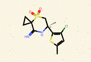 Cc1cc(Cl)c([C@]2(C)CS(=O)(=O)C3(CC3)C(=N)N2)s1